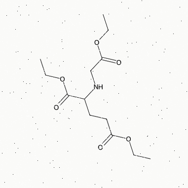 CCOC(=O)CCC(NCC(=O)OCC)C(=O)OCC